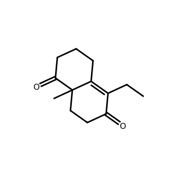 CCC1=C2CCCC(=O)C2(C)CCC1=O